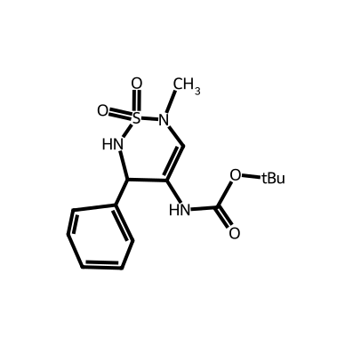 CN1C=C(NC(=O)OC(C)(C)C)C(c2ccccc2)NS1(=O)=O